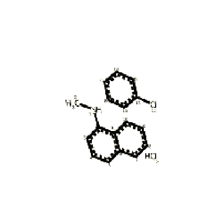 CNc1cccc2ccccc12.Cl.Clc1ccccc1